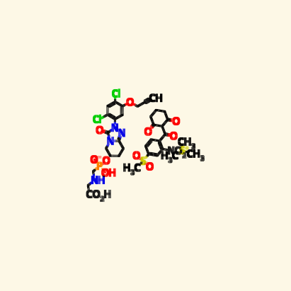 C#CCOc1cc(-n2nc3n(c2=O)CCCC3)c(Cl)cc1Cl.CS(=O)(=O)c1ccc(C(=O)C2C(=O)CCCC2=O)c([N+](=O)[O-])c1.C[S+](C)C.O=C(O)CNCP(=O)([O-])O